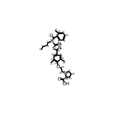 CCCCN(C(=O)c1ccccc1C)c1nnc(-c2cc(C)c(OCCN3CCC[C@H]3C(=O)O)c(C)c2)s1